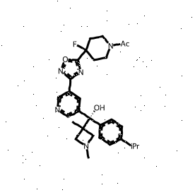 CC(=O)N1CCC(F)(c2nc(-c3cncc([C@@](O)(c4ccc(C(C)C)cc4)C4(C)CN(C)C4)c3)no2)CC1